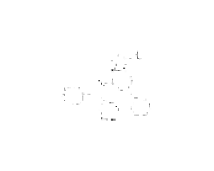 Clc1cnn2c(N=C(c3ccccc3)c3ccccc3)cc(-c3ccccc3)cc12